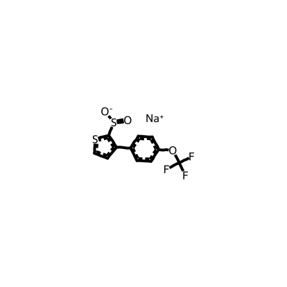 O=S([O-])c1sccc1-c1ccc(OC(F)(F)F)cc1.[Na+]